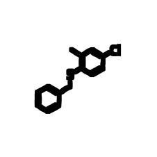 Cc1cc(Cl)ccc1SCc1ccccc1